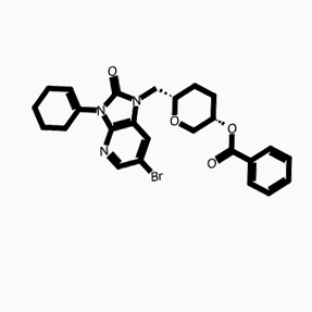 O=C(O[C@H]1CC[C@@H](Cn2c(=O)n(C3=CCCCC3)c3ncc(Br)cc32)OC1)c1ccccc1